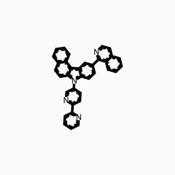 c1ccc(-c2ccc(-n3c4ccc(-c5nccc6ccccc56)cc4c4c5ccccc5ccc43)cn2)nc1